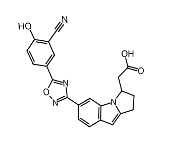 N#Cc1cc(-c2nc(-c3ccc4cc5n(c4c3)C(CC(=O)O)CC5)no2)ccc1O